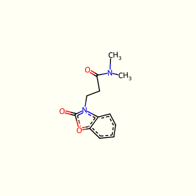 CN(C)C(=O)CCn1c(=O)oc2ccccc21